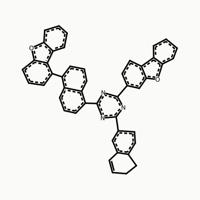 C1=Cc2cc(-c3nc(-c4ccc5c(c4)oc4ccccc45)nc(-c4cccc5c(-c6cccc7oc8ccccc8c67)cccc45)n3)ccc2CC1